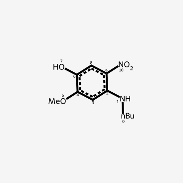 CCCCNc1cc(OC)c(O)cc1[N+](=O)[O-]